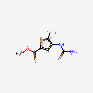 COC(=S)c1cc(NC(N)=S)c(C)s1